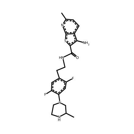 Cc1ccc2c(N)c(C(=O)NCCc3cc(F)c(N4CCNC(C)C4)cc3F)sc2n1